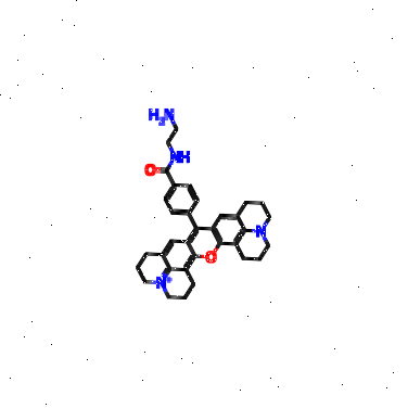 NCCNC(=O)c1ccc(C2=c3cc4c5c(c3Oc3c2cc2c6c3CCCN6CCC2)CCC[N+]=5CCC4)cc1